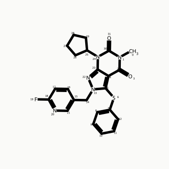 Cn1c(=O)c2c(Sc3ccccc3)n(Cc3ccc(F)nc3)nc2n(C2CCCC2)c1=O